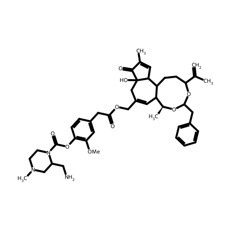 C=C(C)C1CCC2C(C=C(COC(=O)Cc3ccc(OC(=O)N4CCN(C)CC4CN)c(OC)c3)CC3(O)C(=O)C(C)=CC23)[C@H](C)OC(Cc2ccccc2)O1